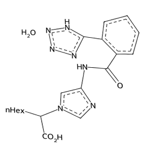 CCCCCCC(C(=O)O)n1cnc(NC(=O)c2ccccc2-c2nnn[nH]2)c1.O